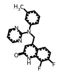 Cc1cccc(N(Cc2cc(=O)[nH]c3c(F)c(F)ccc23)c2ncccn2)c1